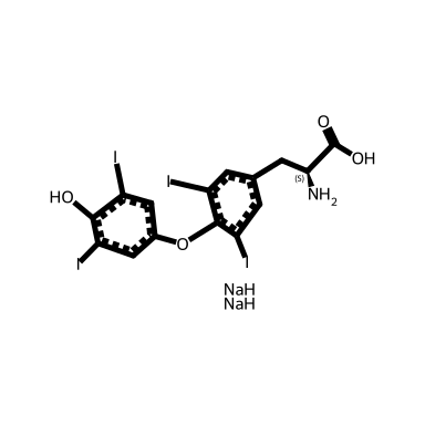 N[C@@H](Cc1cc(I)c(Oc2cc(I)c(O)c(I)c2)c(I)c1)C(=O)O.[NaH].[NaH]